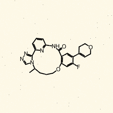 CC1CCCOc2cc(F)c(C3=CCOCC3)cc2C(=O)Nc2cccc(n2)-c2nncn21